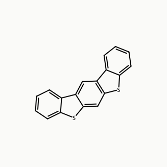 c1ccc2c(c1)sc1cc3sc4ccccc4c3cc12